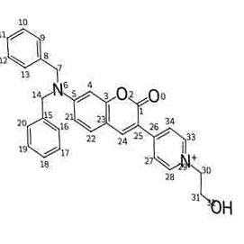 O=c1oc2cc(N(Cc3ccccc3)Cc3ccccc3)ccc2cc1-c1cc[n+](CCO)cc1